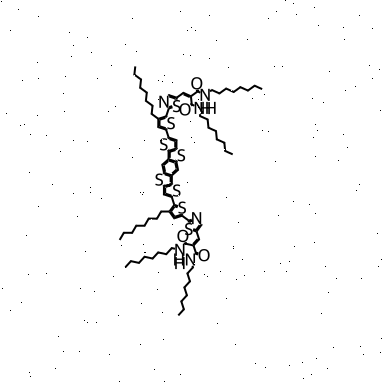 CCCCCCCCNC(=O)C(=Cc1cnc(-c2cc(CCCCCCCC)c(-c3cc4sc5cc6c(cc5c4s3)sc3cc(-c4cc(CCCCCCCC)c(-c5ncc(C=C(C(=O)NCCCCCCCC)C(=O)NCCCCCCCC)s5)s4)sc36)s2)s1)C(=O)NCCCCCCCC